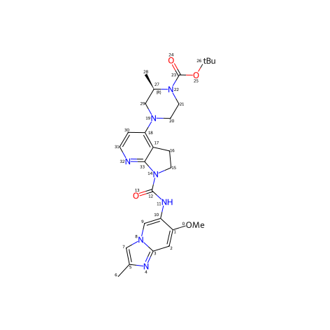 COc1cc2nc(C)cn2cc1NC(=O)N1CCc2c(N3CCN(C(=O)OC(C)(C)C)[C@H](C)C3)ccnc21